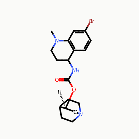 CN1CCC(NC(=O)O[C@H]2CN3CCC2CC3)c2ccc(Br)cc21